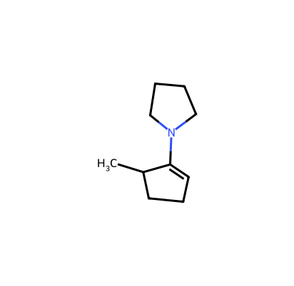 CC1CCC=C1N1CCCC1